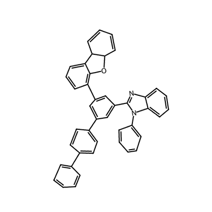 C1=CC2Oc3c(-c4cc(-c5ccc(-c6ccccc6)cc5)cc(-c5nc6ccccc6n5-c5ccccc5)c4)cccc3C2C=C1